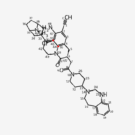 C#Cc1cc(C[C@@H](CC(=O)N2CCC(N3CCc4ccccc4NC3)CC2)C(=O)N2CCN(C3CC4CCC(C3)N4C)CC2)cc(Cl)c1N